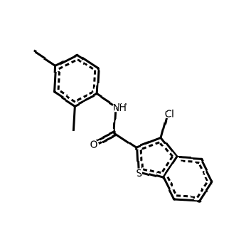 Cc1ccc(NC(=O)c2sc3ccccc3c2Cl)c(C)c1